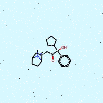 C[N+]1(C)C2CCC1[C@H](CC(=O)C(O)(c1ccccc1)C1CCCC1)C2